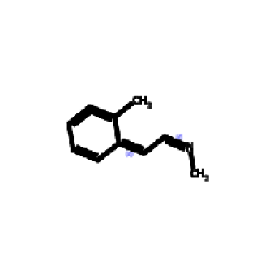 C/N=C\C=C1\C=CC=C=C1C